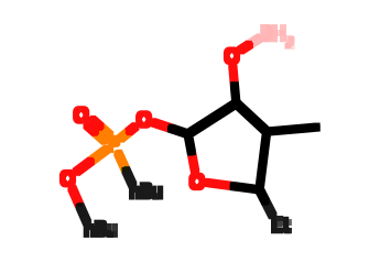 BOC1C(OP(=O)(CCCC)OCCCC)OC(CC)C1C